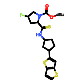 CC(C)(C)OC(=O)N1CC(F)CC1C(=S)NC1CCC(c2cc3sccc3s2)C1